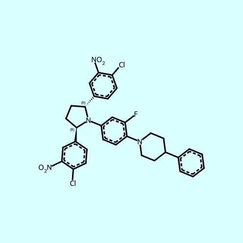 O=[N+]([O-])c1cc([C@H]2CC[C@H](c3ccc(Cl)c([N+](=O)[O-])c3)N2c2ccc(N3CCC(c4ccccc4)CC3)c(F)c2)ccc1Cl